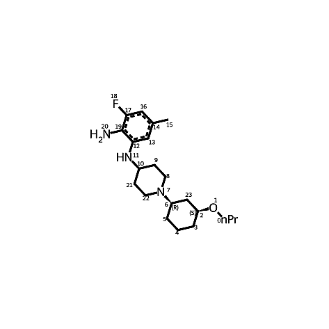 CCCO[C@H]1CCC[C@@H](N2CCC(Nc3cc(C)cc(F)c3N)CC2)C1